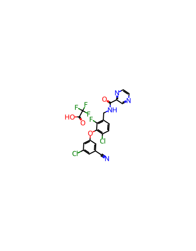 N#Cc1cc(Cl)cc(Oc2c(Cl)ccc(CNC(=O)c3cnccn3)c2F)c1.O=C(O)C(F)(F)F